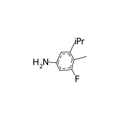 Cc1c(F)cc(N)cc1C(C)C